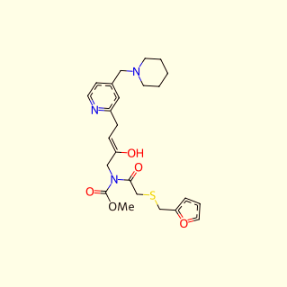 COC(=O)N(C/C(O)=C/Cc1cc(CN2CCCCC2)ccn1)C(=O)CSCc1ccco1